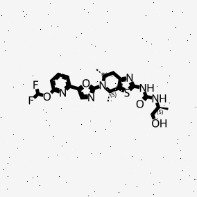 C[C@@H]1Cc2nc(NC(=O)N[C@@H](C)CO)sc2[C@H](C)N1c1ncc(-c2cccc(OC(F)F)n2)o1